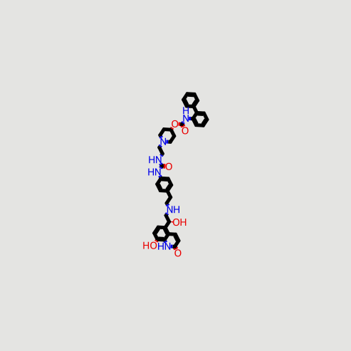 O=C(NCCN1CCC(OC(=O)Nc2ccccc2-c2ccccc2)CC1)Nc1ccc(CCNC[C@H](O)c2ccc(O)c3[nH]c(=O)ccc23)cc1